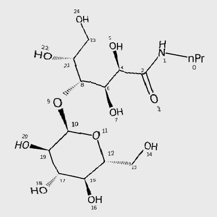 CCCNC(=O)[C@H](O)[C@@H](O)[C@H](O[C@H]1O[C@H](CO)[C@@H](O)[C@H](O)[C@H]1O)[C@H](O)CO